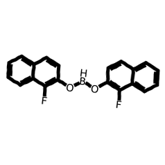 Fc1c(OBOc2ccc3ccccc3c2F)ccc2ccccc12